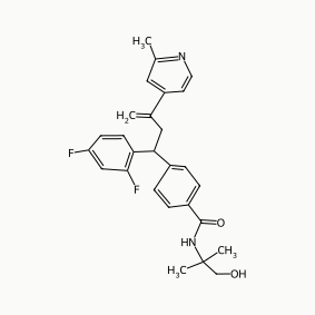 C=C(CC(c1ccc(C(=O)NC(C)(C)CO)cc1)c1ccc(F)cc1F)c1ccnc(C)c1